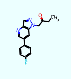 CCC(=O)Cn1ncc2ncc(-c3ccc(F)cc3)cc21